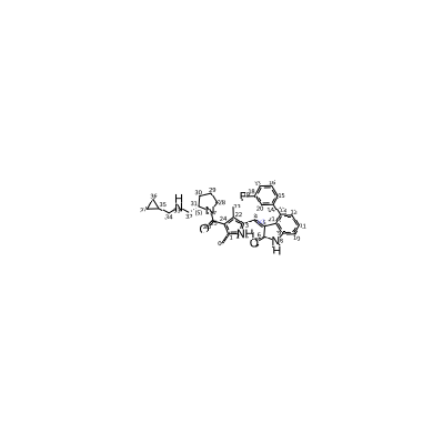 Cc1[nH]c(/C=C2\C(=O)Nc3cccc(-c4cccc(F)c4)c32)c(C)c1C(=O)N1CCC[C@H]1CNCC1CC1